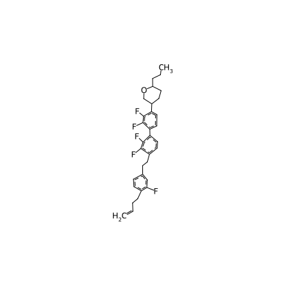 C=CCCc1ccc(CCc2ccc(-c3ccc(C4CCC(CCC)OC4)c(F)c3F)c(F)c2F)cc1F